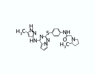 Cc1cc(Nc2nc(Sc3ccc(NC(=O)CN4CCC[C@H]4C)cc3)nn3cccc23)n[nH]1